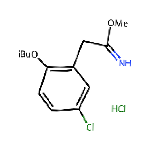 COC(=N)Cc1cc(Cl)ccc1OCC(C)C.Cl